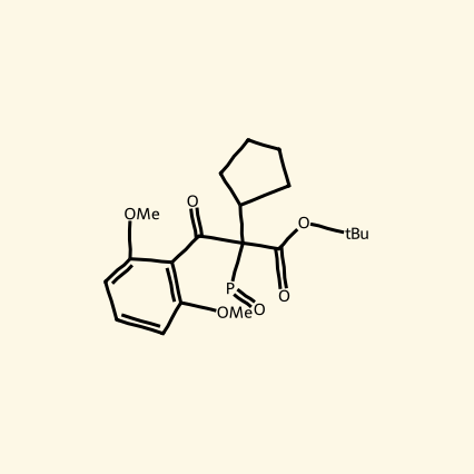 COc1cccc(OC)c1C(=O)C(P=O)(C(=O)OC(C)(C)C)C1CCCC1